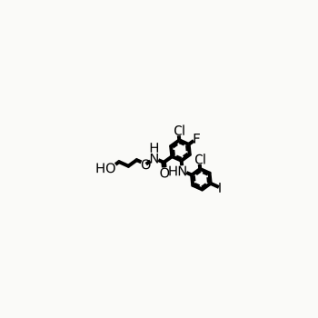 O=C(NOCCCO)c1cc(Cl)c(F)cc1Nc1ccc(I)cc1Cl